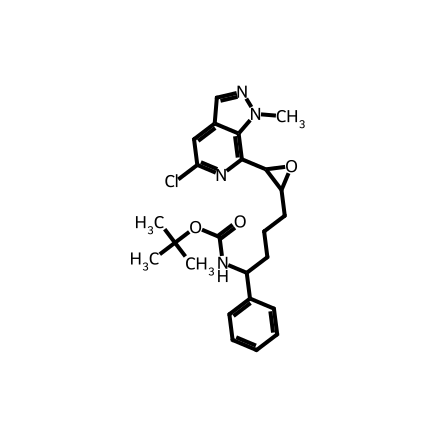 Cn1ncc2cc(Cl)nc(C3OC3CCCC(NC(=O)OC(C)(C)C)c3ccccc3)c21